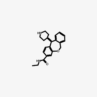 CCNC(=O)c1ccc2c(c1)OCc1ccccc1C2=C1CCNCC1